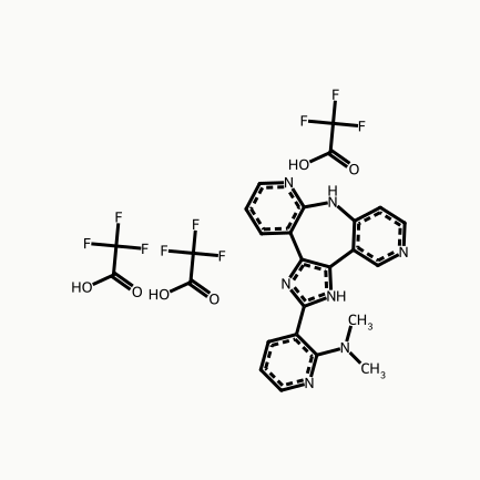 CN(C)c1ncccc1-c1nc2c([nH]1)-c1cnccc1Nc1ncccc1-2.O=C(O)C(F)(F)F.O=C(O)C(F)(F)F.O=C(O)C(F)(F)F